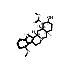 COC(=O)[C@@H]1[C@H]2C[C@H]3c4[nH]c5cccc(OC)c5c4CCN3C[C@@H]2CC[C@@H]1O